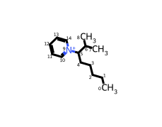 CCCCCC(C(C)C)[n+]1ccccc1